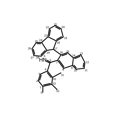 Cc1ccc(C(=N)c2cc3ccccc3cc2C2c3ccccc3-c3ccccc32)c(C)c1C